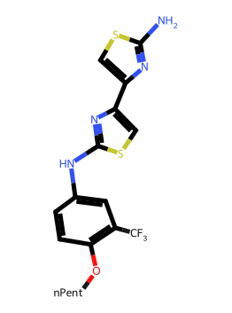 CCCCCOc1ccc(Nc2nc(-c3csc(N)n3)cs2)cc1C(F)(F)F